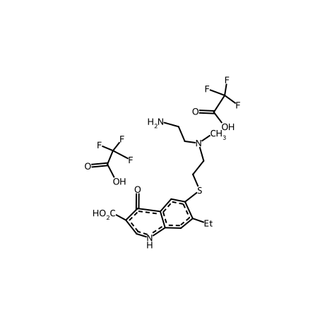 CCc1cc2[nH]cc(C(=O)O)c(=O)c2cc1SCCN(C)CCN.O=C(O)C(F)(F)F.O=C(O)C(F)(F)F